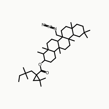 CCC(C)(C)CC1(C(=O)OC2CCC3C(C)(CCC4C3(C)CCC3(C)C5CC(C)(C)CCC5(C)CCC43CN=[N+]=[N-])C2C)CC1(C)C